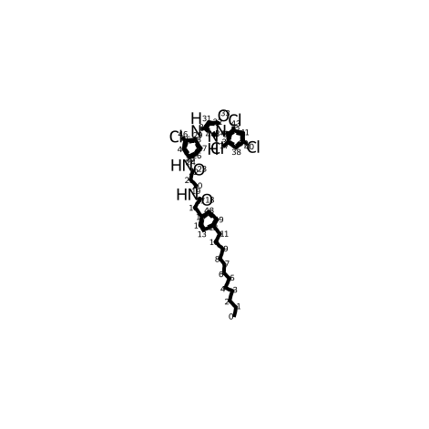 CCCCCCCCCCCCc1ccc(CC(=O)NCCC(=O)Nc2ccc(Nc3cc(=O)n(-c4c(Cl)cc(Cl)cc4Cl)[nH]3)c(Cl)c2)cc1